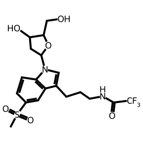 CS(=O)(=O)c1ccc2c(c1)c(CCCNC(=O)C(F)(F)F)cn2C1CC(O)C(CO)O1